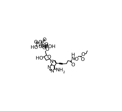 CCOC(=O)CONC(=O)CCC#Cc1cn(C2CC(O)C(COP(=O)(O)OP(=O)(O)OP(=O)(O)O)O2)c2ncnc(N)c12